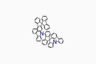 c1ccc(-c2ccccc2N(c2ccc3c(c2)C2(c4ccccc4-c4ccccc42)c2ccccc2-3)c2cccc3c2-c2ccccc2C32c3ccccc3-n3c4ccccc4c4cccc2c43)cc1